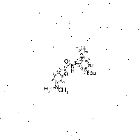 CN(C)c1ccc2cc(C(=O)NSc3cc(C(C)(C)C)ccc3OCC(F)(F)F)oc2c1